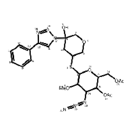 COC1C(SC2COCC(O)(n3cc(-c4ccccc4)nn3)C2)OC(COC(C)=O)C(OC(C)=O)C1N=[N+]=[N-]